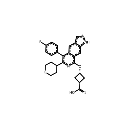 O=C(O)[C@H]1C[C@H](Oc2nc(C3CCOCC3)c(-c3ccc(F)cc3)c3cc4cn[nH]c4cc23)C1